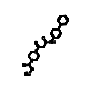 CC(C)(C)OC(=O)N1CCN(C(=O)CC(=O)Nc2ccc(-c3ccccc3)cc2)CC1